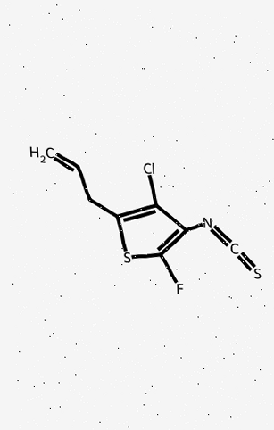 C=CCc1sc(F)c(N=C=S)c1Cl